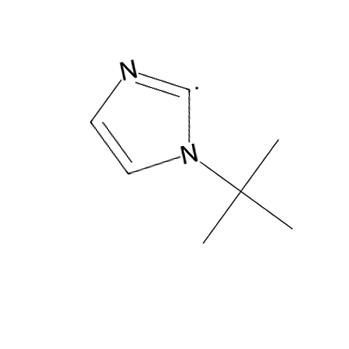 CC(C)(C)n1[c]ncc1